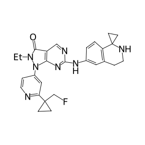 CCn1c(=O)c2cnc(Nc3ccc4c(c3)CCNC43CC3)nc2n1-c1ccnc(C2(CF)CC2)c1